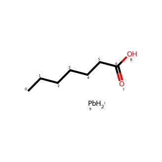 CCCCCCC(=O)O.[PbH2]